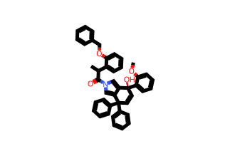 COc1ccccc1[C@]1(O)C=CC(c2ccccc2)(c2ccccc2)c2cn(C(=O)C(C)c3ccccc3OCc3ccccc3)cc21